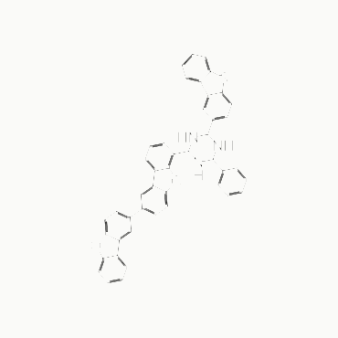 c1ccc(C2NC(c3ccc4sc5ccccc5c4c3)NC(c3cccc4c3oc3ccc(-c5ccc6oc7ccccc7c6c5)cc34)N2)cc1